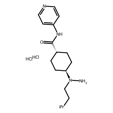 CC(C)CCN(N)[C@H]1CC[C@H](C(=O)Nc2ccncc2)CC1.Cl.Cl